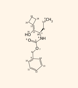 C=CC[C@@H](NC(=O)OCc1ccccc1)C(O)=C1CCC1